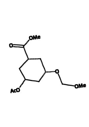 COCOC1CC(OC(C)=O)CC(C(=O)OC)C1